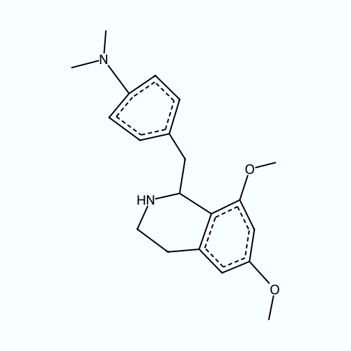 COc1cc2c(c(OC)c1)C(Cc1ccc(N(C)C)cc1)NCC2